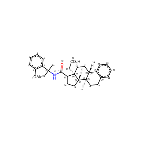 COc1ccccc1C(C)(C)NC(=O)C1CC[C@H]2[C@@H]3CCc4ccccc4[C@H]3CC[C@]12CC(=O)O